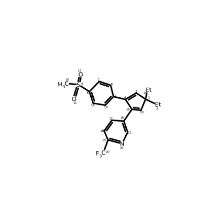 CCC1(CC)C=C(c2ccc(S(C)(=O)=O)cc2)C(c2ccc(C(F)(F)F)nc2)=C1